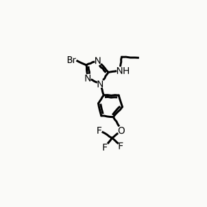 CCNc1nc(Br)nn1-c1ccc(OC(F)(F)F)cc1